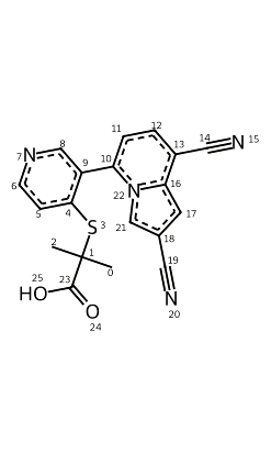 CC(C)(Sc1ccncc1-c1ccc(C#N)c2cc(C#N)cn12)C(=O)O